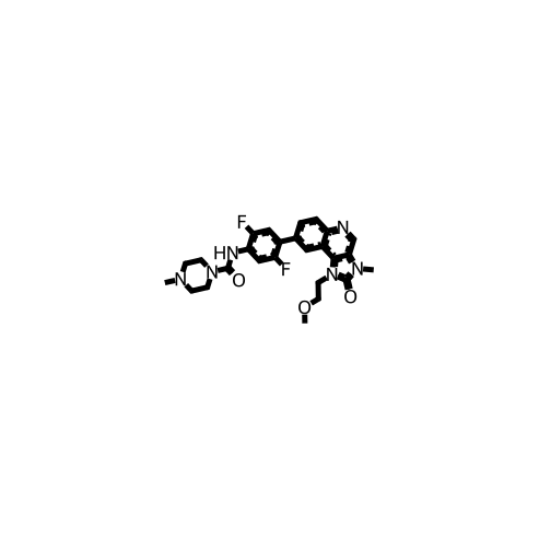 COCCn1c(=O)n(C)c2cnc3ccc(-c4cc(F)c(NC(=O)N5CCN(C)CC5)cc4F)cc3c21